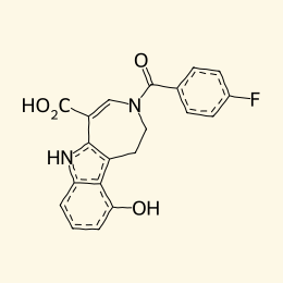 O=C(O)C1=CN(C(=O)c2ccc(F)cc2)CCc2c1[nH]c1cccc(O)c21